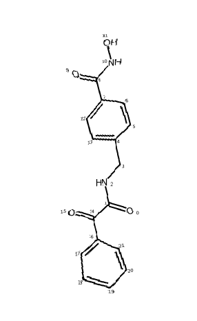 O=C(NCc1ccc(C(=O)NO)cc1)C(=O)c1ccccc1